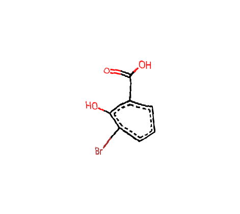 O=C(O)c1cccc(Br)c1O